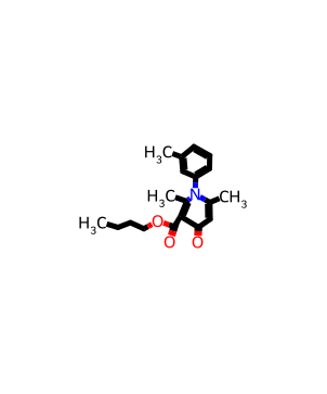 CCCCOC(=O)c1c(C)n(-c2cccc(C)c2)c(C)cc1=O